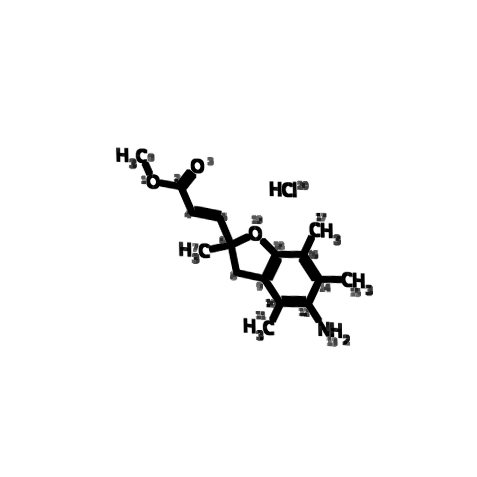 COC(=O)/C=C/C1(C)Cc2c(C)c(N)c(C)c(C)c2O1.Cl